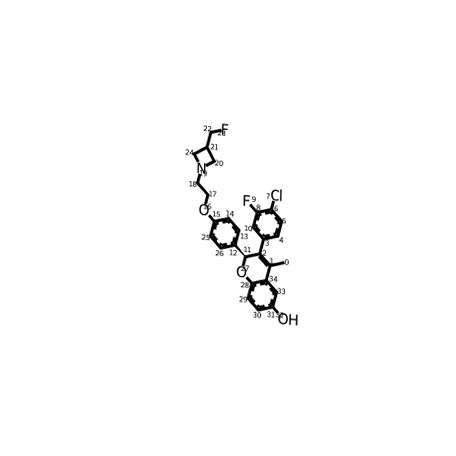 CC1=C(c2ccc(Cl)c(F)c2)[C@H](c2ccc(OCCN3CC(CF)C3)cc2)Oc2ccc(O)cc21